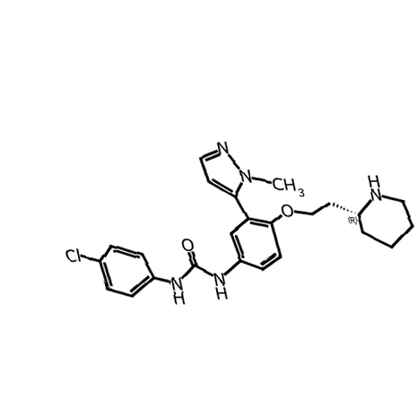 Cn1nccc1-c1cc(NC(=O)Nc2ccc(Cl)cc2)ccc1OCC[C@H]1CCCCN1